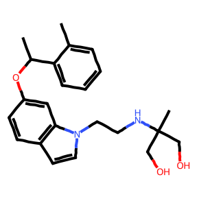 Cc1ccccc1C(C)Oc1ccc2ccn(CCNC(C)(CO)CO)c2c1